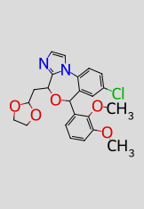 COc1cccc(C2OC(CC3OCCO3)c3nccn3-c3ccc(Cl)cc32)c1OC